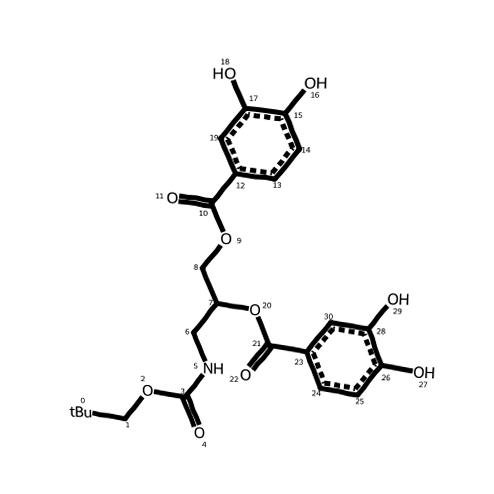 CC(C)(C)COC(=O)NCC(COC(=O)c1ccc(O)c(O)c1)OC(=O)c1ccc(O)c(O)c1